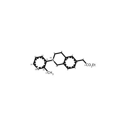 CCOC(=O)Cc1ccc2c(c1)CCN(c1cccnc1C)C2